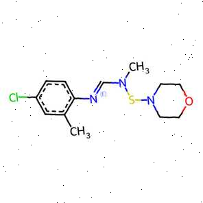 Cc1cc(Cl)ccc1/N=C/N(C)SN1CCOCC1